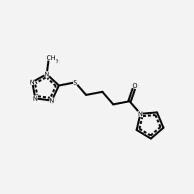 Cn1nnnc1SCCCC(=O)n1cccc1